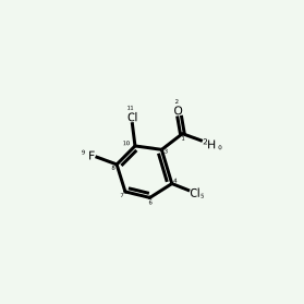 [2H]C(=O)c1c(Cl)ccc(F)c1Cl